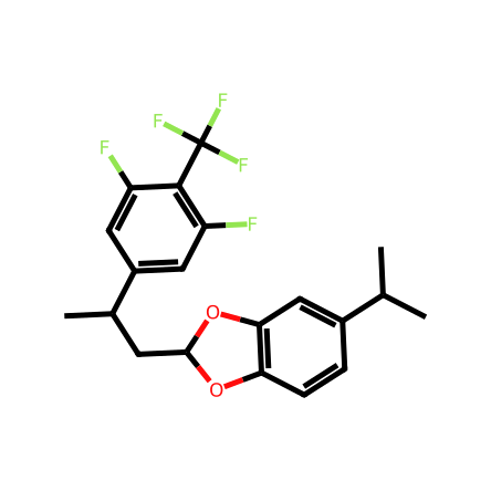 CC(C)c1ccc2c(c1)OC(CC(C)c1cc(F)c(C(F)(F)F)c(F)c1)O2